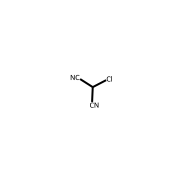 N#CC(Cl)C#N